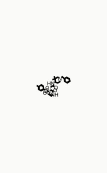 Cc1ccc(S(=O)(=O)N2C=CNC(=O)[C@H]2CC(=O)N[C@H]2CCN(Cc3ccccc3)CC2(C)C)cc1